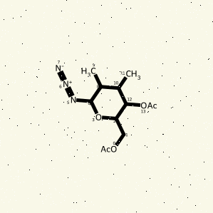 CC(=O)OCC1OC(N=[N+]=[N-])C(C)C(C)C1OC(C)=O